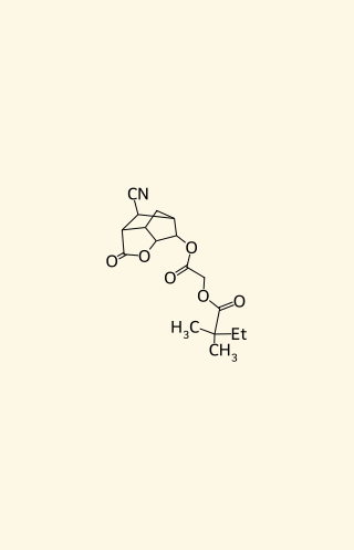 CCC(C)(C)C(=O)OCC(=O)OC1C2CC3C1OC(=O)C3C2C#N